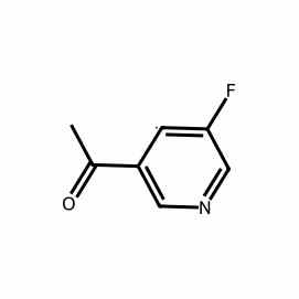 CC(=O)c1[c]c(F)cnc1